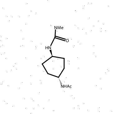 CNC(=O)N[C@H]1CC[C@H](NC(C)=O)CC1